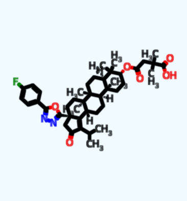 CC(C)C1=C2[C@H]3CC[C@@H]4[C@@]5(C)CC[C@H](OC(=O)CC(C)(C)C(=O)O)C(C)(C)[C@@H]5CC[C@@]4(C)[C@]3(C)CC[C@@]2(c2nnc(-c3ccc(F)cc3)o2)CC1=O